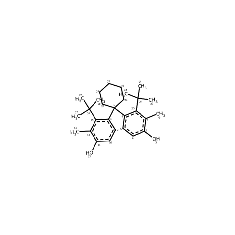 Cc1c(O)ccc(C2(c3ccc(O)c(C)c3C(C)(C)C)CCCCC2)c1C(C)(C)C